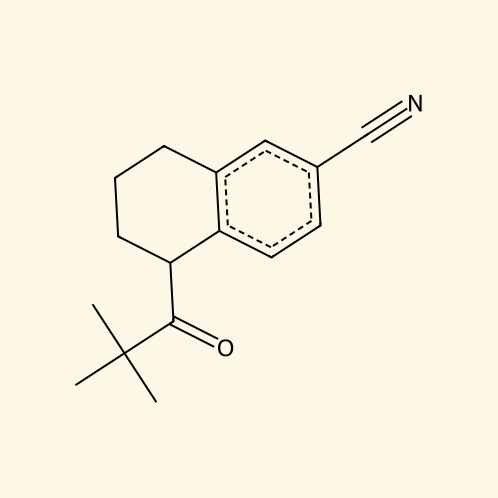 CC(C)(C)C(=O)C1CCCc2cc(C#N)ccc21